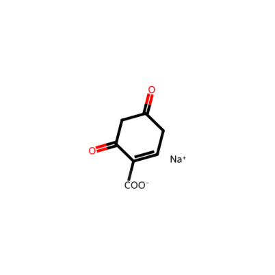 O=C1CC=C(C(=O)[O-])C(=O)C1.[Na+]